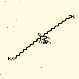 Br.CCCCCCCCCCCCCCCCC(=O)CCCCCCCCCCCCCCCC.CN(C)C